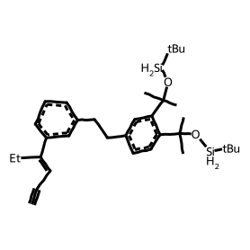 C#CC=C(CC)c1cccc(CCc2ccc(C(C)(C)O[SiH2]C(C)(C)C)c(C(C)(C)O[SiH2]C(C)(C)C)c2)c1